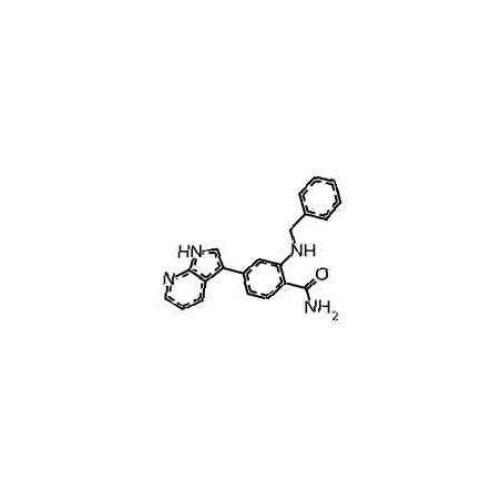 NC(=O)c1ccc(-c2c[nH]c3ncccc23)cc1NCc1ccccc1